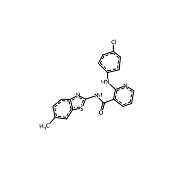 Cc1ccc2nc(NC(=O)c3cccnc3Nc3ccc(Cl)cc3)sc2c1